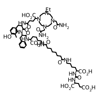 CCN1CCN(CC(N)=O)CCN(CC(N)=O)CCN(C(CCC(=O)NC(Cc2ccc(O)c(C)c2)C(=O)NC(Cc2ccccc2)C(=O)NC(CCCCNC(=O)CCCCCCC(=O)NCCCCC(NC(=O)NC(CCC(=O)O)C(=O)O)C(=O)O)C(=O)O)C(=O)O)CC1